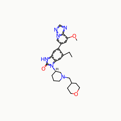 CCc1cc2c(cc1-c1cc(OC)c3ncnn3c1)[nH]c(=O)n2[C@@H]1CCCN(CC2CCOCC2)C1